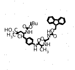 CC(NC(=O)CNC(=O)OCC1c2ccccc2-c2ccccc21)C(=O)Nc1ccc(CC(CC(C)(C)C(=O)O)NC(=O)OC(C)(C)C)cc1